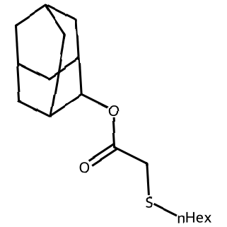 CCCCCCSCC(=O)OC1C2CC3CC(C2)CC1C3